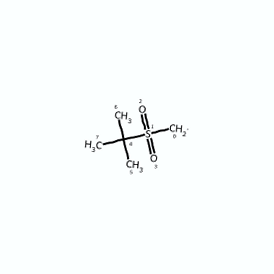 [CH2]S(=O)(=O)C(C)(C)C